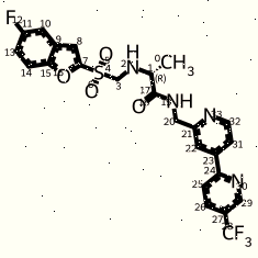 C[C@@H](NCS(=O)(=O)c1cc2cc(F)ccc2o1)C(=O)NCc1cc(-c2ccc(C(F)(F)F)cn2)ccn1